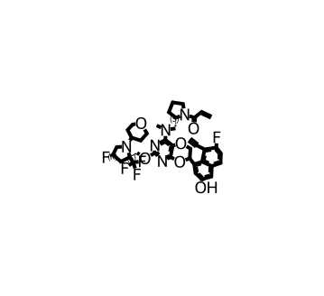 C#Cc1c(F)ccc2cc(O)cc(C3COc4c(nc(OC[C@]5(C(F)(F)F)C[C@@H](F)CN5C5CCOCC5)nc4N(C)C[C@@H]4CCCN4C(=O)C=C)O3)c12